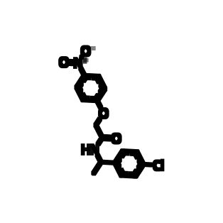 CC(NC(=O)COc1ccc([N+](=O)[O-])cc1)c1ccc(Cl)cc1